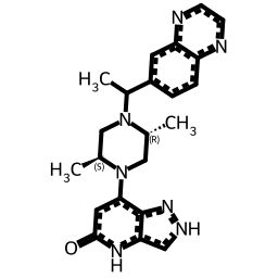 CC(c1ccc2nccnc2c1)N1C[C@H](C)N(c2cc(=O)[nH]c3c[nH]nc23)C[C@H]1C